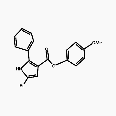 CCc1cc(C(=O)Oc2ccc(OC)cc2)c(-c2ccccc2)[nH]1